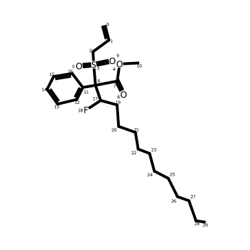 C=CCS(=O)(=O)C(C(=O)OC)(c1ccccc1)C(F)CCCCCCCCCCC